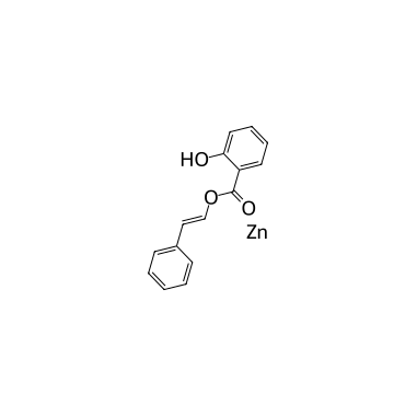 O=C(OC=Cc1ccccc1)c1ccccc1O.[Zn]